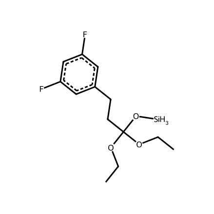 CCOC(CCc1cc(F)cc(F)c1)(O[SiH3])OCC